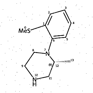 CSc1ccccc1N1CCNC[C@H]1C